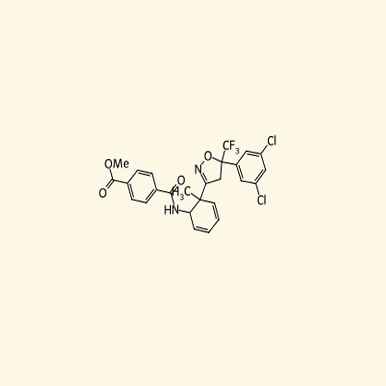 COC(=O)c1ccc(C(=O)NC2C=CC=CC2(C)C2=NOC(c3cc(Cl)cc(Cl)c3)(C(F)(F)F)C2)cc1